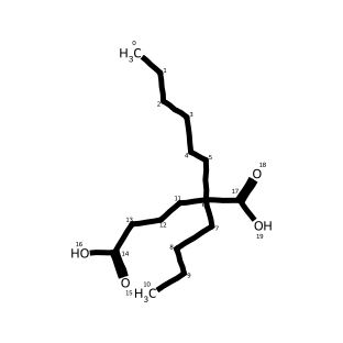 CCCCCCC(CCCC)(CCCC(=O)O)C(=O)O